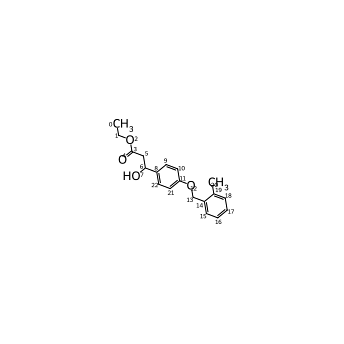 CCOC(=O)CC(O)c1ccc(OCc2ccccc2C)cc1